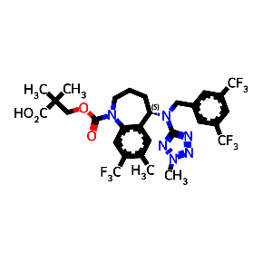 Cc1cc2c(cc1C(F)(F)F)N(C(=O)OCC(C)(C)C(=O)O)CCC[C@@H]2N(Cc1cc(C(F)(F)F)cc(C(F)(F)F)c1)c1nnn(C)n1